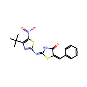 CC(C)(C)c1nc(N=C2NC(=O)C(=Cc3ccccc3)S2)sc1[N+](=O)[O-]